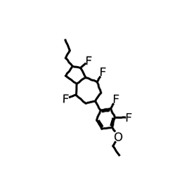 CCCC1CC2C(F)CC(c3ccc(OCC)c(F)c3F)CC(F)C2C1F